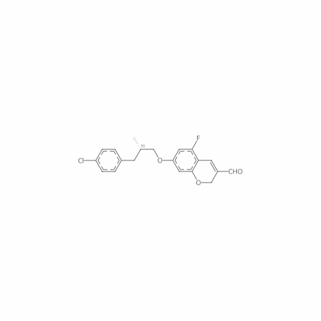 C[C@H](COc1cc(F)c2c(c1)OCC(C=O)=C2)Cc1ccc(Cl)cc1